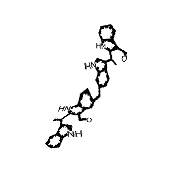 CC(c1[nH]c2ccccc2c1C=O)c1c[nH]c2cc(Cc3ccc4[nH]c(C(C)c5c[nH]c6ccccc56)c(C=O)c4c3)ccc12